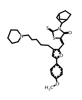 COc1ccc(-c2cc(CCCCCN3CCCCC3)c(/C=C3\SC(=S)N(C4CC5CCC4C5)C3=O)o2)cc1